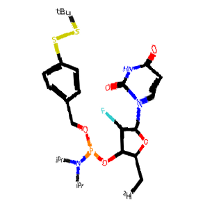 [2H]CC1OC(n2ccc(=O)[nH]c2=O)C(F)C1OP(OCc1ccc(SSC(C)(C)C)cc1)N(C(C)C)C(C)C